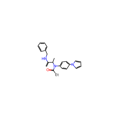 C=C(NCc1ccccc1)C(C)N(C(=O)CC)c1ccc(-n2cccc2)cc1